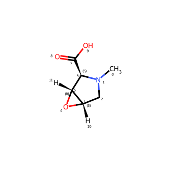 CN1C[C@@H]2O[C@@H]2[C@H]1C(=O)O